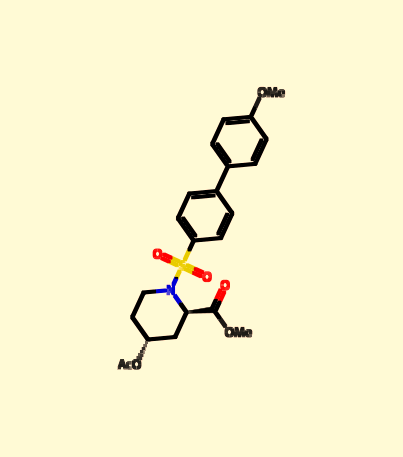 COC(=O)[C@H]1C[C@H](OC(C)=O)CCN1S(=O)(=O)c1ccc(-c2ccc(OC)cc2)cc1